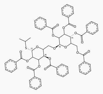 CC(C)S[C@@H]1OC(CO[C@@H]2OC(COC(=O)c3ccccc3)[C@@H](OC(=O)c3ccccc3)C(OC(=O)c3ccccc3)C2OC(=O)c2ccccc2)[C@@H](OC(=O)c2ccccc2)C(OC(=O)c2ccccc2)C1OC(=O)c1ccccc1